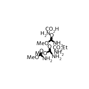 CCOC(N)=O.COC(N)=O.COC(N)=O.COC(N)=O.NC(=O)O